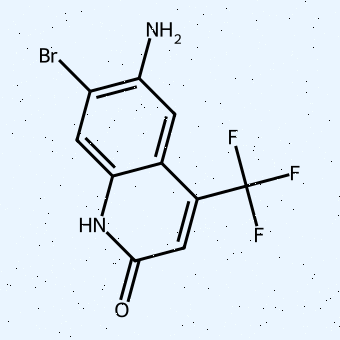 Nc1cc2c(C(F)(F)F)cc(=O)[nH]c2cc1Br